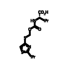 CC(C)c1nc(SCOC(=O)N[C@H](C(=O)O)C(C)C)cs1